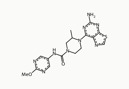 COc1ncc(NC(=O)N2CCN(c3nc(N)nc4scnc34)C(C)C2)cn1